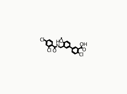 COc1ccc(-c2ccc(Cl)c(C(=O)O)c2)cc1CNC(=O)c1ccc(Cl)cc1Cl